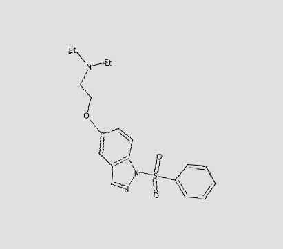 CCN(CC)CCOc1ccc2c(cnn2S(=O)(=O)c2ccccc2)c1